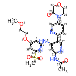 COCCOc1cc(Nc2cc(NC(C)=O)ncc2-c2ccc(N3CCOCC3=O)cn2)nc(S(C)(=O)=O)c1